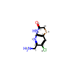 NCc1nc2c(cc1Cl)SCC(=O)N2